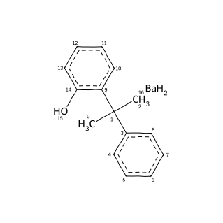 CC(C)(c1ccccc1)c1ccccc1O.[BaH2]